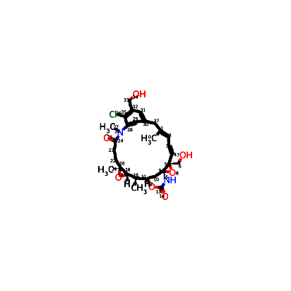 C/C1=C\C=C\[C@]2(CO)O[C@@]23C[C@H](OC(=O)N3)[C@@H](C)[C@@H]2O[C@@]2(C)CCC(=O)N(C)c2cc(cc(CO)c2Cl)C1